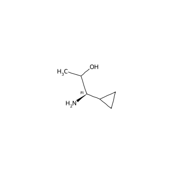 CC(O)[C@H](N)C1CC1